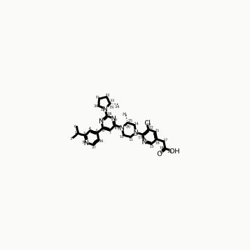 CC(C)c1cc(-c2cc(N3CCN(c4ncc(CC(=O)O)cc4Cl)C[C@H]3C)nc(N3CCC[C@@H]3C)n2)ccn1